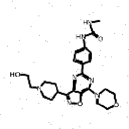 CNC(=O)Nc1ccc(-c2nc(N3CCOCC3)c3onc(C4CCN(CCO)CC4)c3n2)cc1